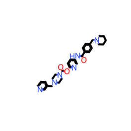 O=C(Nc1ccc(OC(=O)N2CCN(Cc3cccnc3)CC2)nc1)c1ccc(CN2CCCCC2)cc1